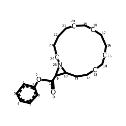 O=C(Oc1ccccc1)C1C2CCCCCCCCCCCCCCN21